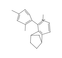 Cc1ccc(-c2c3c(cc[n+]2C)C2CCC3C2)c(C)c1